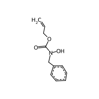 C=CCOC(=O)N(O)Cc1ccccc1